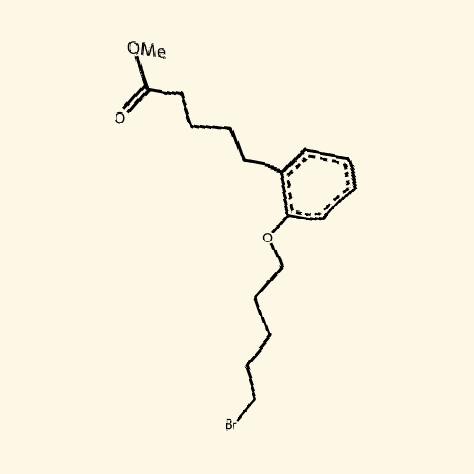 COC(=O)CCCCc1ccccc1OCCCCCBr